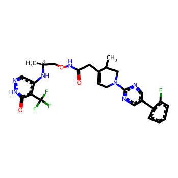 CC1CN(c2ncc(-c3ccccc3F)cn2)CC=C1CC(=O)NOC[C@H](C)Nc1cn[nH]c(=O)c1C(F)(F)F